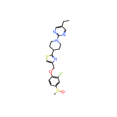 CCc1cnc(N2CCC(c3nc(COc4ccc([S+](C)[O-])cc4F)cs3)CC2)nc1